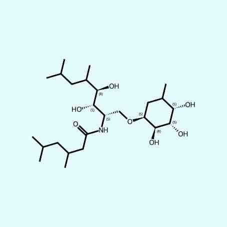 CC(C)CC(C)CC(=O)N[C@@H](CO[C@H]1CC(C)[C@H](O)[C@H](O)[C@H]1O)[C@H](O)[C@H](O)C(C)CC(C)C